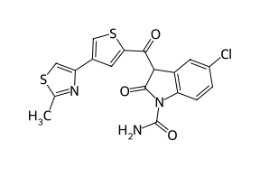 Cc1nc(-c2csc(C(=O)C3C(=O)N(C(N)=O)c4ccc(Cl)cc43)c2)cs1